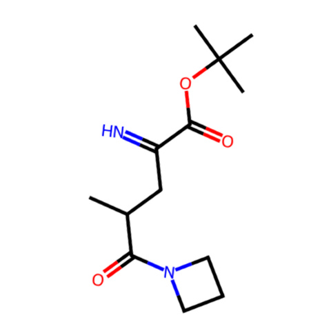 CC(CC(=N)C(=O)OC(C)(C)C)C(=O)N1CCC1